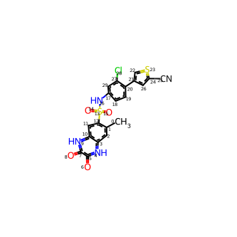 Cc1cc2[nH]c(=O)c(=O)[nH]c2cc1S(=O)(=O)Nc1ccc(-c2csc(C#N)c2)c(Cl)c1